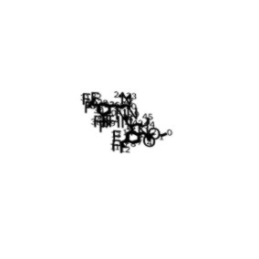 CCOC(=O)N1c2ccc(C(F)(F)F)cc2[C@@H](Nc2ncc(N(C)C)c(Cc3cc(C(F)(F)F)cc(C(F)(F)F)c3)n2)C[C@H]1CC